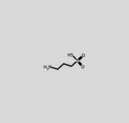 NCCCS(=O)(=O)S